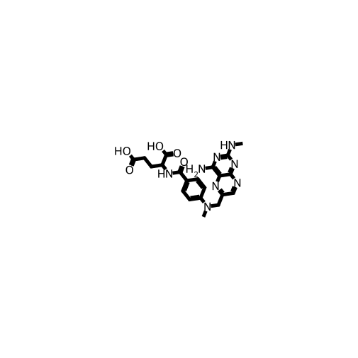 CNc1nc(N)c2nc(CN(C)c3ccc(C(=O)NC(CCC(=O)O)C(=O)O)cc3)cnc2n1